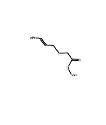 CCCC=CCCCC(=O)OCCCC